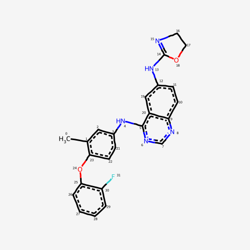 Cc1cc(Nc2ncnc3ccc(NC4=NCCO4)cc23)ccc1Oc1ccccc1F